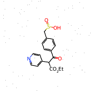 CCOC(=O)C(C(=O)c1ccc(CS(=O)O)cc1)c1ccncc1